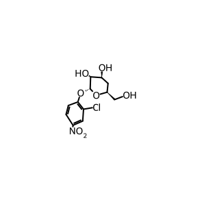 O=[N+]([O-])c1ccc(O[C@H]2O[C@H](CO)C[C@H](O)[C@H]2O)c(Cl)c1